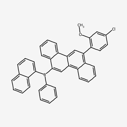 COc1cc(Cl)ccc1-c1cc2c3ccccc3c(B(c3ccccc3)c3cccc4ccccc34)cc2c2ccccc12